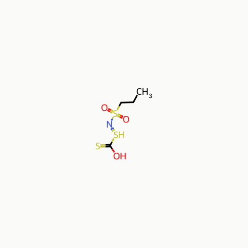 CCCS(=O)(=O)N=[SH]C(O)=S